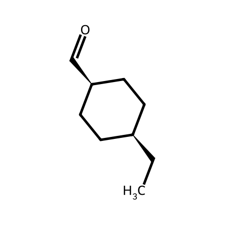 CC[C@H]1CC[C@@H](C=O)CC1